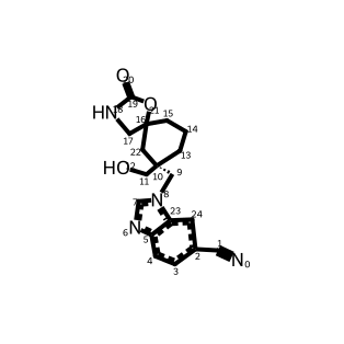 N#Cc1ccc2ncn(C[C@@]3(CO)CCCC4(CNC(=O)O4)C3)c2c1